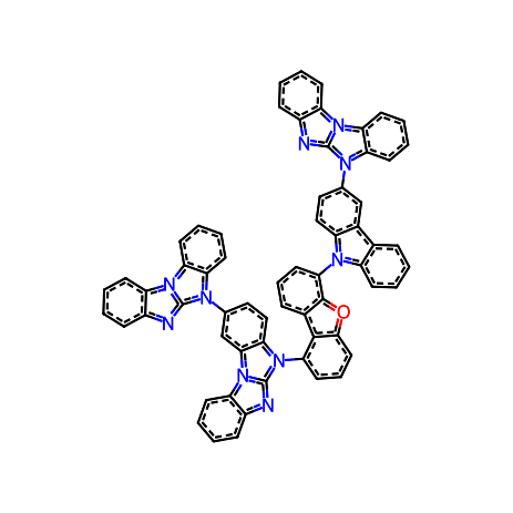 c1ccc2c(c1)nc1n(-c3ccc4c(c3)c3ccccc3n4-c3cccc4c3oc3cccc(-n5c6ccc(-n7c8ccccc8n8c9ccccc9nc78)cc6n6c7ccccc7nc56)c34)c3ccccc3n21